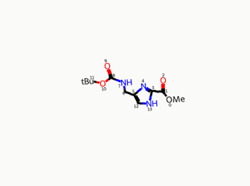 COC(=O)c1nc(CNC(=O)OC(C)(C)C)c[nH]1